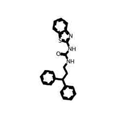 O=C(NCCC(c1ccccc1)c1ccccc1)Nc1nc2ccccc2s1